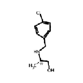 C[C@@H](CO)NCc1ccc(Cl)cc1